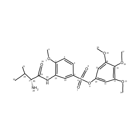 COc1ccc(S(=O)(=O)Oc2cc(OC)c(OC)c(OC)c2)cc1NC(=O)[C@H](N)C(C)C